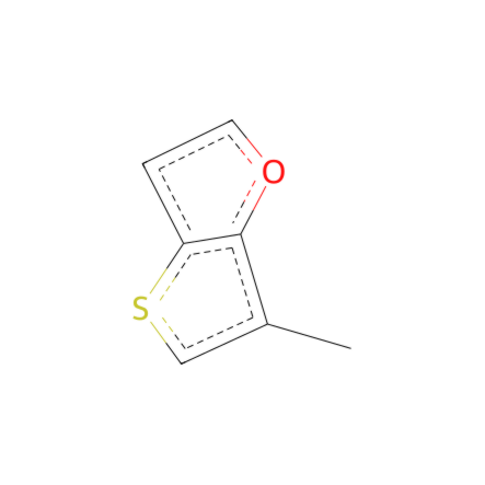 Cc1csc2ccoc12